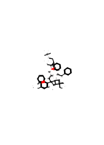 CC(C)(O)[C@@H]1CC[C@@H](NC(=O)[C@H]2[C@H](c3cccc(Cl)c3F)C3(C(=O)Nc4cc(Cl)ccc43)C3(CC(CF)(CF)C3)N2[C@H](c2ccccc2)[C@@H](O)c2ccccc2)CO1